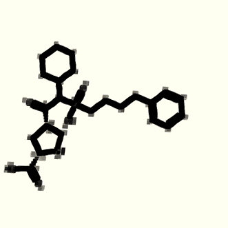 O=C(C(C1CCCCC1)P(=O)(O)CCCCc1ccccc1)[C@@H]1CN[C@H](C(=O)O)C1